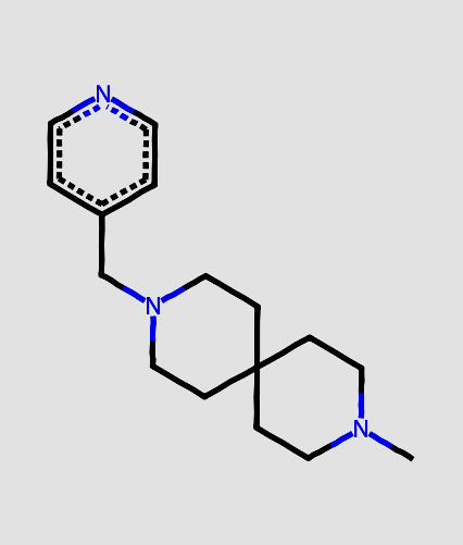 CN1CCC2(CC1)CCN(Cc1ccncc1)CC2